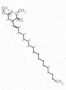 CCCCCCCCCCCCCCCCC=CC(CC(=O)OC)C(=O)OC